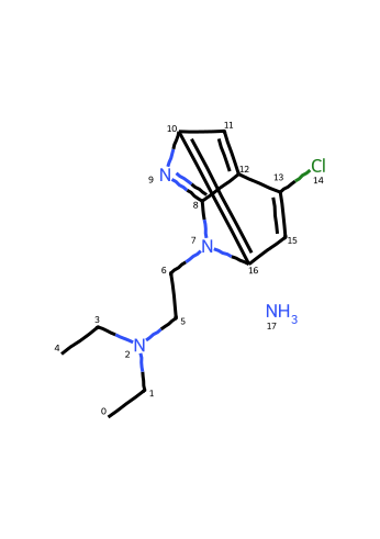 CCN(CC)CCn1c2nc3cc-2c(Cl)cc31.N